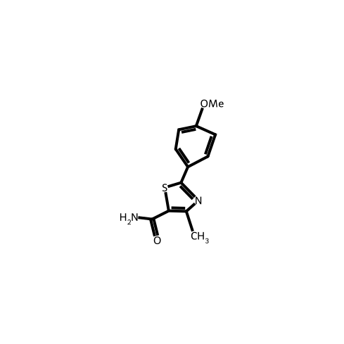 COc1ccc(-c2nc(C)c(C(N)=O)s2)cc1